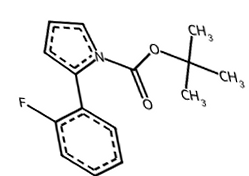 CC(C)(C)OC(=O)n1cccc1-c1ccccc1F